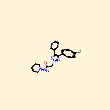 O=C(Cn1nc(-c2ccccc2)c(-c2ccc(Cl)cc2)n1)NN1CCCCC1